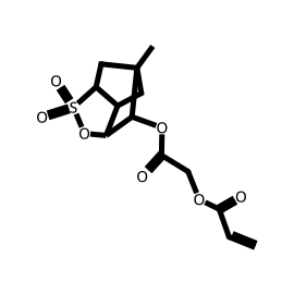 C=CC(=O)OCC(=O)OC1C2OS(=O)(=O)C3CC1(C)CC23